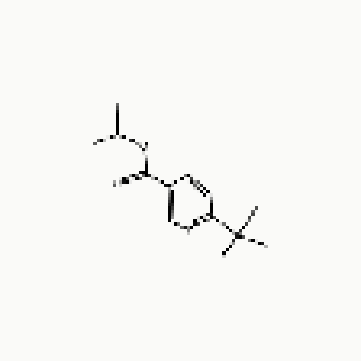 CC(C)OC(=O)c1ccc(C(C)(C)C)nc1